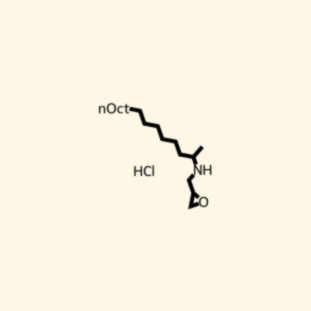 CCCCCCCCCCCCCCC(C)NCC1CO1.Cl